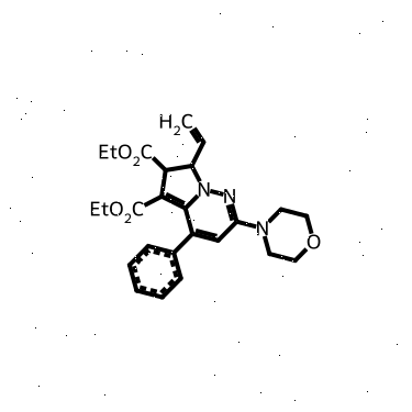 C=CC1C(C(=O)OCC)C(C(=O)OCC)=C2C(c3ccccc3)=CC(N3CCOCC3)=NN21